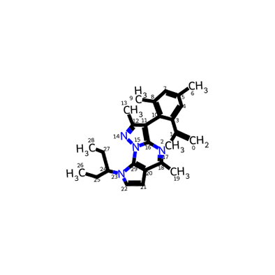 C=C(C)c1cc(C)cc(C)c1-c1c(C)nn2c1nc(C)c1ccn(C(CC)CC)c12